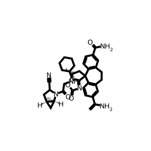 C=C(N)c1ccc2c(c1)CCc1cc(C(N)=O)ccc1C2(C[C@@H](C)NCC(=O)N1C(C#N)C[C@@H]2C[C@@H]21)c1nc(=O)on1C1CCCCC1